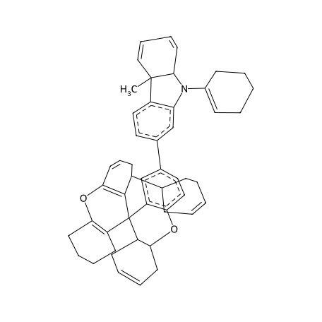 CC12C=CC=CC1N(C1=CCCCC1)c1cc(-c3ccc4c(c3)C3(C5=C(CCCC5)OC5=C3C(C3CC=CCC3)CC=C5)C3CC=CCC3O4)ccc12